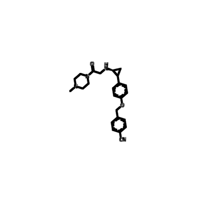 CN1CCN(C(=O)CN[C@H]2CC2c2ccc(OCc3ccc(C#N)cc3)cc2)CC1